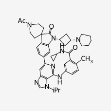 CC(=O)N1CCC2(CC1)C(=O)N([C@H]1C[C@@H](N3CCCCC3)C1)c1cc(-c3cc4ncn(C(C)C)c4c(Nc4ccc(C)c(C(=O)NC5CC5)c4)n3)ccc12